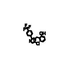 Oc1ccccc1Cn1c(Cl)cnc1-c1ccc(C(F)(F)F)cc1